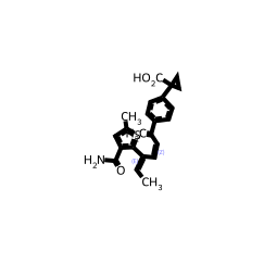 C=C(/C=C\C(=C/C)c1sc(C)cc1C(N)=O)c1ccc(C2(C(=O)O)CC2)cc1